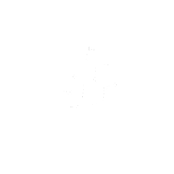 CC(C)(C)OC(=O)N1C(=O)CCC(C)(C)C1=O